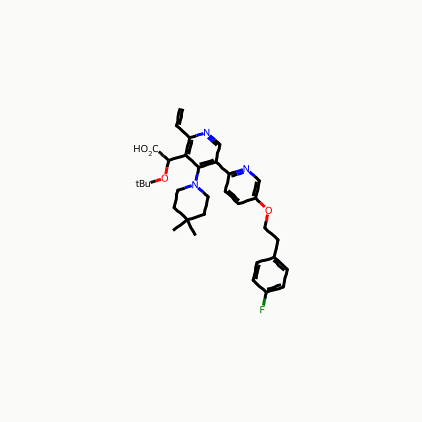 C=Cc1ncc(-c2ccc(OCCc3ccc(F)cc3)cn2)c(N2CCC(C)(C)CC2)c1C(OC(C)(C)C)C(=O)O